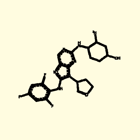 [2H]C1CC(O)CCC1Nc1ncc2nc(Nc3c(F)cc(F)cc3F)n(C3CCOC3)c2n1